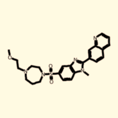 COCCN1CCCN(S(=O)(=O)c2ccc3c(c2)nc(-c2ccc4cccnc4c2)n3C)CC1